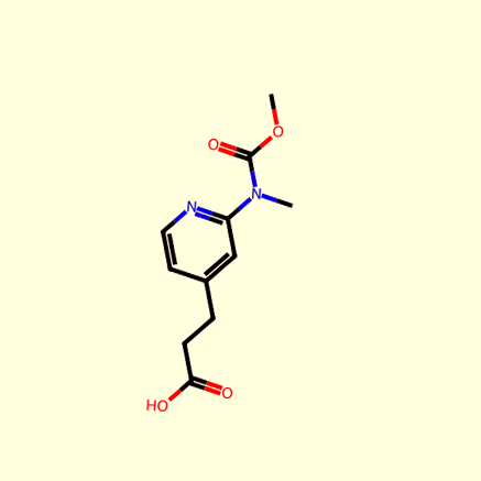 COC(=O)N(C)c1cc(CCC(=O)O)ccn1